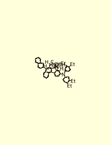 CCc1ccc(N(c2ccc(CC)c(CC)c2)c2ccc3c(c2)C([Si](C)(C)C)([Si](C)(C)C)c2cc(-c4ccc5ccccc5c4)c4ccccc4c2-3)cc1CC